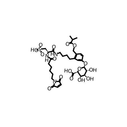 CC(C)C(=O)OCc1ccc(O[C@@H]2O[C@H](C(=O)O)[C@@H](O)[C@H](O)[C@H]2O)cc1CCCCNC(=O)[C@H](CS(=O)(=O)O)NC(=O)CCCCCN1C(=O)C=CC1=O